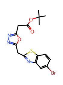 CC(C)(C)OC(=O)Cc1nnc(Cc2nc3cc(Br)ccc3s2)o1